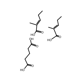 CC/C=C(\C)C(=O)O.CC/C=C(\C)C(=O)O.O=C(O)CCCC(=O)O